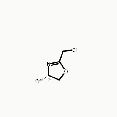 CC(C)[C@H]1COC(CCl)=N1